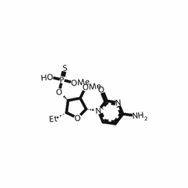 CC[C@H]1O[C@@H](n2ccc(N)nc2=O)C(OC)[C@H]1OP(O)(=S)OC